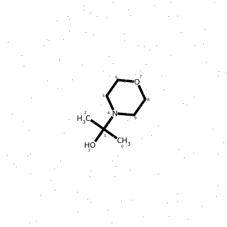 CC(C)(O)N1CCOCC1